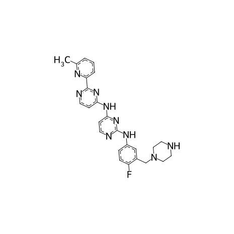 Cc1cccc(-c2nccc(Nc3ccnc(Nc4ccc(F)c(CN5CCNCC5)c4)n3)n2)n1